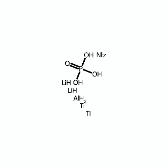 O=P(O)(O)O.[AlH3].[LiH].[LiH].[Nb].[Ti].[Ti]